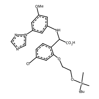 COc1cc(NC(C(=O)O)c2ccc(Cl)cc2OCCO[Si](C)(C)C(C)(C)C)cc(-n2cncn2)c1